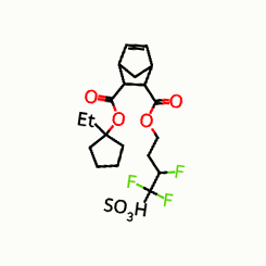 CCC1(OC(=O)C2C3C=CC(C3)C2C(=O)OCCC(F)C(F)(F)S(=O)(=O)O)CCCC1